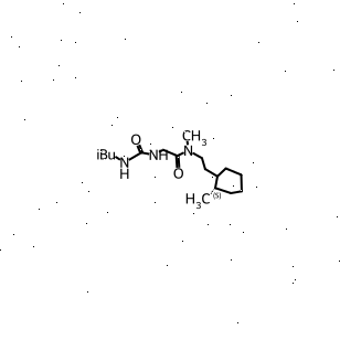 CCC(C)NC(=O)NCC(=O)N(C)CCC1CCCC[C@@H]1C